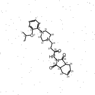 CC(C)Oc1ccccc1N1CCN(CCC(=O)NN2C(=O)C3CC=CCC3C2=O)CC1